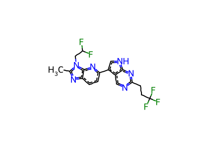 Cc1nc2ccc(-c3c[nH]c4nc(CCC(F)(F)F)ncc34)nc2n1CC(F)F